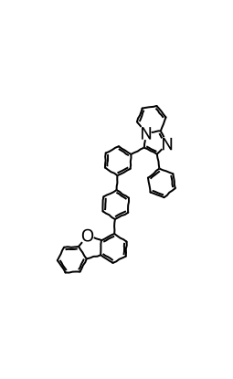 c1ccc(-c2nc3ccccn3c2-c2cccc(-c3ccc(-c4cccc5c4oc4ccccc45)cc3)c2)cc1